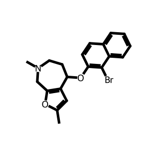 Cc1cc2c(o1)CN(C)CCC2Oc1ccc2ccccc2c1Br